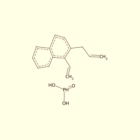 C=CCc1ccc2ccccc2c1C=C.O=[PH](O)O